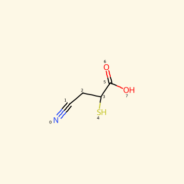 N#CCC(S)C(=O)O